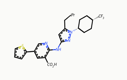 CC(C)Cc1cc(Nc2ncc(-c3cccs3)cc2C(=O)O)nn1[C@H]1CC[C@@H](C(F)(F)F)CC1